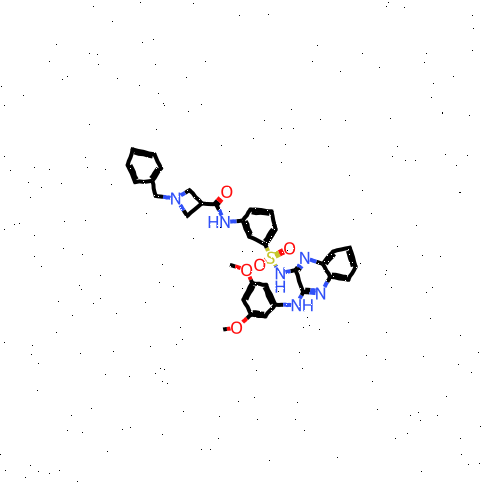 COc1cc(Nc2nc3ccccc3nc2NS(=O)(=O)c2cccc(NC(=O)C3CN(Cc4ccccc4)C3)c2)cc(OC)c1